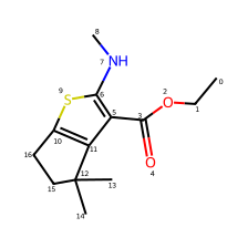 CCOC(=O)c1c(NC)sc2c1C(C)(C)CC2